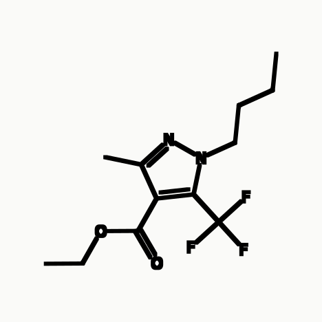 CCCCn1nc(C)c(C(=O)OCC)c1C(F)(F)F